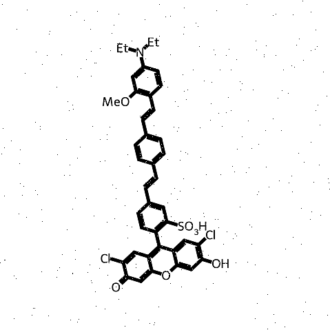 CCN(CC)c1ccc(/C=C/c2ccc(/C=C/c3ccc(-c4c5cc(Cl)c(=O)cc-5oc5cc(O)c(Cl)cc45)c(S(=O)(=O)O)c3)cc2)c(OC)c1